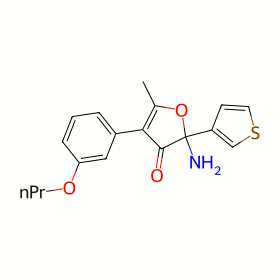 CCCOc1cccc(C2=C(C)OC(N)(c3ccsc3)C2=O)c1